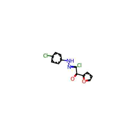 O=C(C(Cl)=NNc1ccc(Cl)cc1)c1ccco1